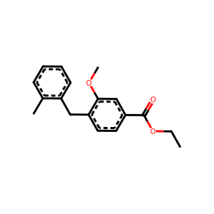 CCOC(=O)c1ccc(Cc2ccccc2C)c(OC)c1